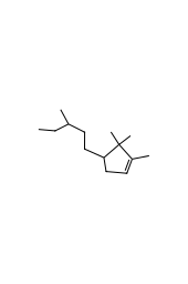 CCC(C)CCC1CC=C(C)C1(C)C